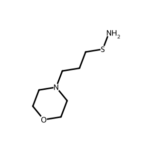 NSCCCN1CCOCC1